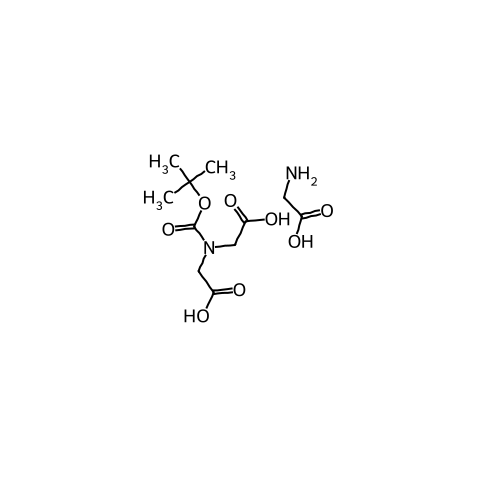 CC(C)(C)OC(=O)N(CC(=O)O)CC(=O)O.NCC(=O)O